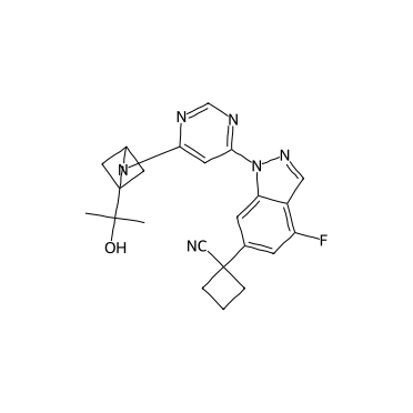 CC(C)(O)C12CC(C1)N(c1cc(-n3ncc4c(F)cc(C5(C#N)CCC5)cc43)ncn1)C2